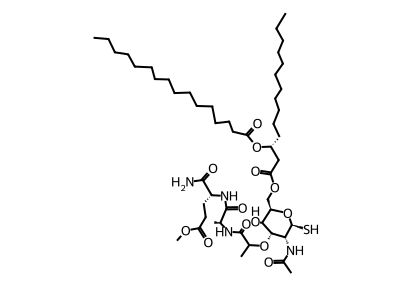 CCCCCCCCCCCCCCCC(=O)O[C@H](CCCCCCCCCCC)CC(=O)OC[C@H]1O[C@@H](S)[C@H](NC(C)=O)[C@H](OC(C)C(=O)N[C@@H](C)C(=O)N[C@H](CCC(=O)OC)C(N)=O)[C@@H]1O